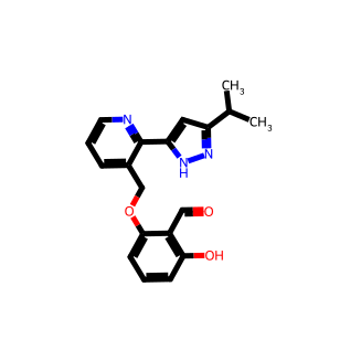 CC(C)c1cc(-c2ncccc2COc2cccc(O)c2C=O)[nH]n1